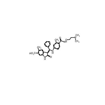 Cc1cc2c(cc1C(=O)O)NC(=O)/C2=C(\Nc1ccc(C(=O)NOCCN(C)C)c(C)c1)c1ccccc1